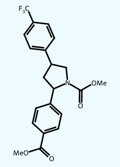 COC(=O)c1ccc(C2CC(c3ccc(C(F)(F)F)cc3)CN2C(=O)OC)cc1